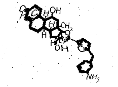 C[C@]12C=CC(=O)C=C1CC[C@@H]1[C@@H]2[C@@H](O)C[C@@]2(C)[C@H]1C[C@H]1O[C@H](c3ccc(Cc4cccc(N)c4)o3)O[C@]12C(=O)CO